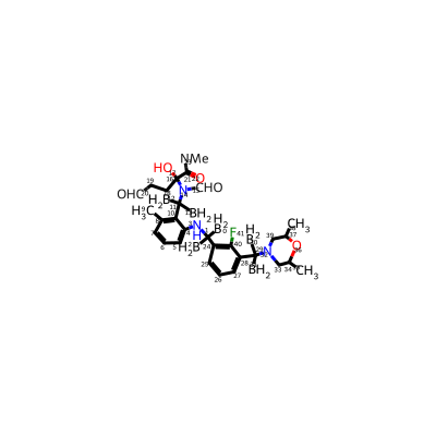 BC(B)(Nc1cccc(C)c1C(B)(B)N(C=O)C(O)(CCC=O)C(=O)NC)c1cccc(C(B)(B)N2CC(C)OC(C)C2)c1F